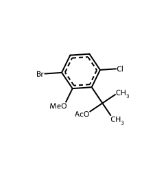 COc1c(Br)ccc(Cl)c1C(C)(C)OC(C)=O